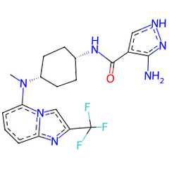 CN(c1cccc2nc(C(F)(F)F)cn12)[C@H]1CC[C@@H](NC(=O)c2c[nH]nc2N)CC1